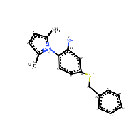 Cc1ccc(C)n1-c1[c]cc(SCc2ccccc2)cc1N